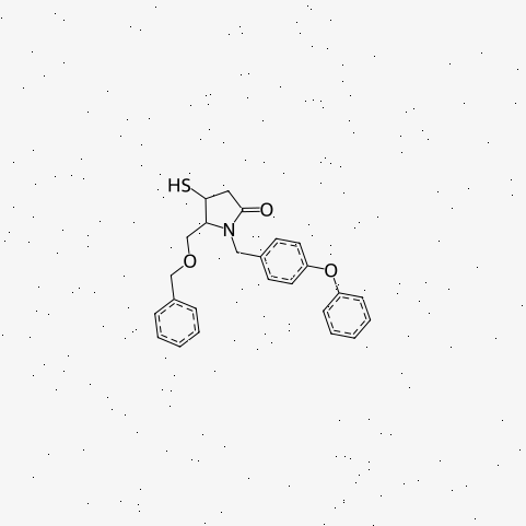 O=C1CC(S)C(COCc2ccccc2)N1Cc1ccc(Oc2ccccc2)cc1